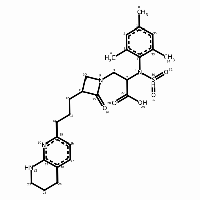 Cc1cc(C)c(N(C(CN2CC(CCCc3ccc4c(n3)NCCC4)C2=O)C(=O)O)[SH](=O)=O)c(C)c1